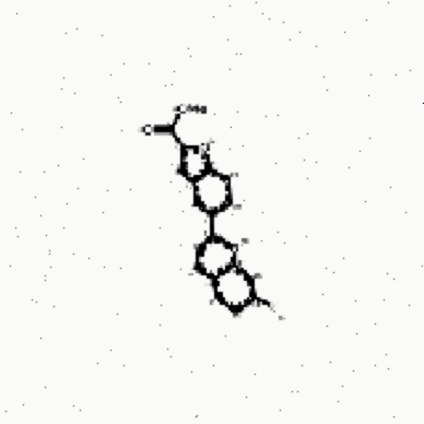 COC(=O)c1cc2cc(-c3ccc4ccc(Cl)cc4n3)ccc2o1